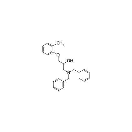 Cc1ccccc1OCC(O)CN(Cc1ccccc1)Cc1ccccc1